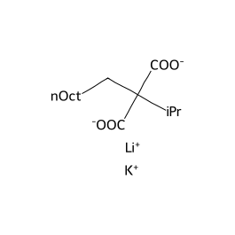 CCCCCCCCCC(C(=O)[O-])(C(=O)[O-])C(C)C.[K+].[Li+]